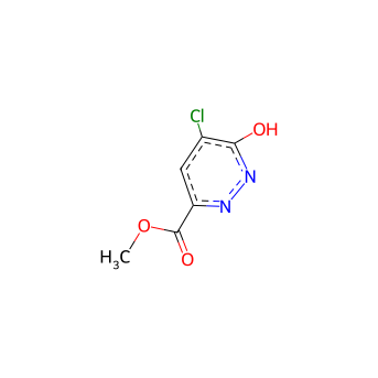 COC(=O)c1cc(Cl)c(O)nn1